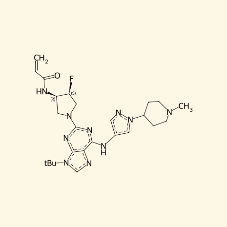 C=CC(=O)N[C@@H]1CN(c2nc(Nc3cnn(C4CCN(C)CC4)c3)c3ncn(C(C)(C)C)c3n2)C[C@@H]1F